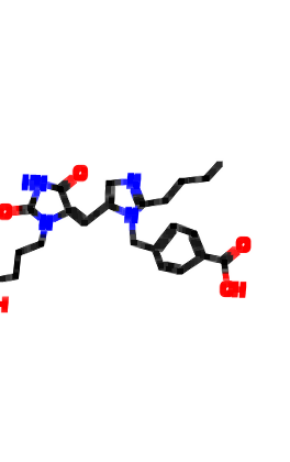 CCCCc1ncc(/C=C2\C(=O)NC(=O)N2CCCCO)n1Cc1ccc(C(=O)O)cc1